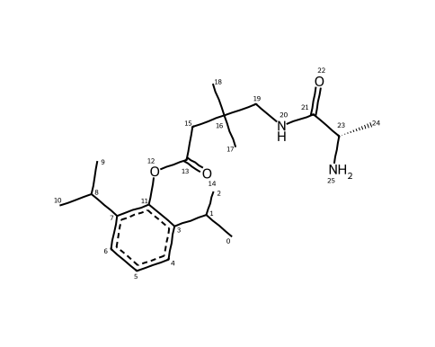 CC(C)c1cccc(C(C)C)c1OC(=O)CC(C)(C)CNC(=O)[C@H](C)N